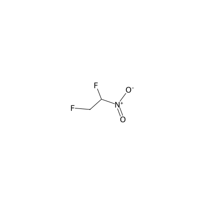 O=[N+]([O-])C(F)CF